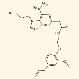 C=CCc1ccc(OCCN[C@H](C)Cc2cc(C(N)=O)c3c(ccn3CCCO)c2)c(OCC)c1